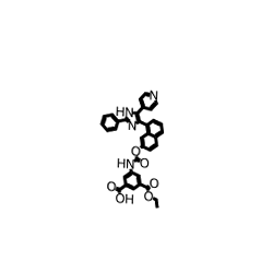 CCOC(=O)c1cc(NC(=O)Oc2ccc3cccc(-c4nc(-c5ccccc5)[nH]c4-c4ccncc4)c3c2)cc(C(=O)O)c1